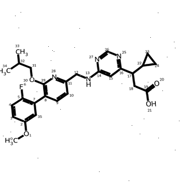 COc1ccc(F)c(-c2ccc(CNc3cc(C(CC(=O)O)C4CC4)ncn3)nc2OCC(C)C)c1